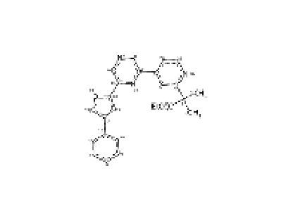 CCOC(=O)C(C)(C)c1cc(-c2cncc(-c3cc(-c4ccccc4)no3)n2)ccn1